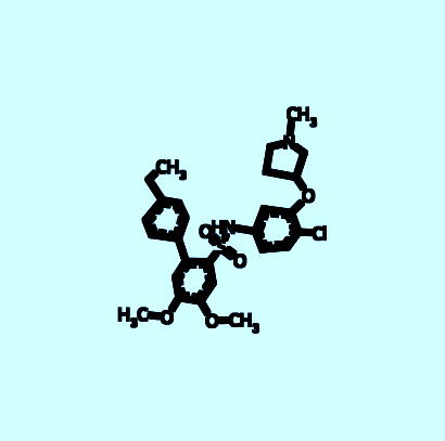 CCc1ccc(-c2cc(OC)c(OC)cc2S(=O)(=O)Nc2ccc(Cl)c(OC3CCN(C)C3)c2)cc1